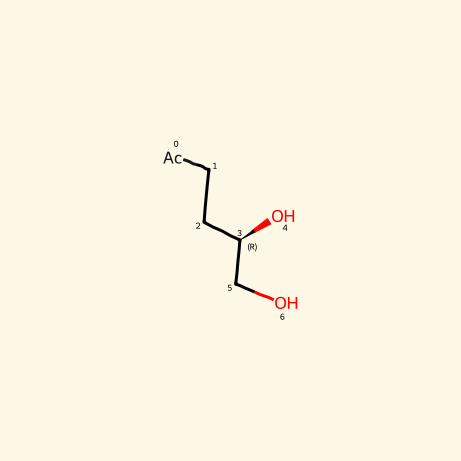 CC(=O)CC[C@@H](O)CO